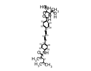 CC(C)C[C@H](C)C(=O)Nc1ccc(C#CC#Cc2ccc(C(=O)N[C@H](C(=O)NO)[C@@H](C)O)cc2)cc1